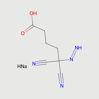 N#CC(C#N)(CCCC(=O)O)N=N.[NaH]